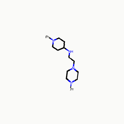 CC(C)N1CCC(NCCN2CCN(C(C)C)CC2)CC1